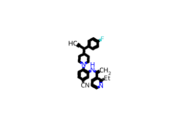 C#CC(c1ccc(F)cc1)C1CCN(c2ccc(C#N)cc2NC(=C)c2cccnc2CC)CC1